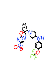 CC1(CN2CCC(Nc3ccc(OC(F)(F)F)cc3)CC2)Cn2cc([N+](=O)[O-])nc2O1